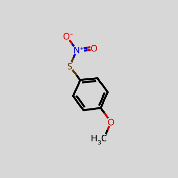 COc1ccc(S[N+](=O)[O-])cc1